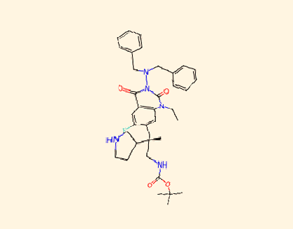 CCn1c(=O)n(N(Cc2ccccc2)Cc2ccccc2)c(=O)c2cc(F)c([C@](C)(CNC(=O)OC(C)(C)C)C3CCNC3)cc21